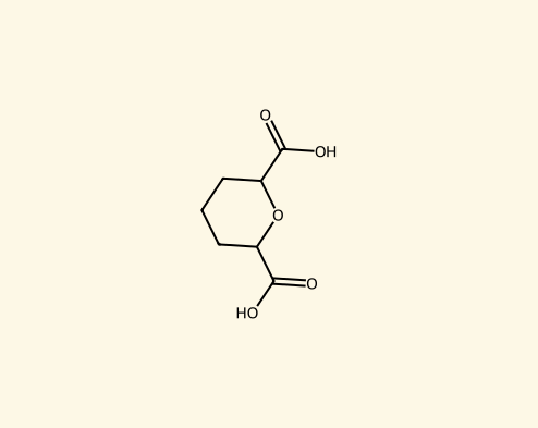 O=C(O)C1CCCC(C(=O)O)O1